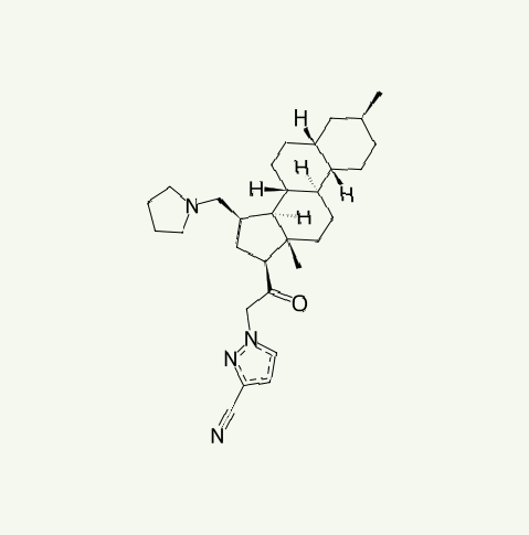 C[C@H]1CC[C@H]2[C@H](CC[C@@H]3[C@@H]2CC[C@@]2(C)[C@H]3[C@H](CN3CCCC3)C[C@@H]2C(=O)Cn2ccc(C#N)n2)C1